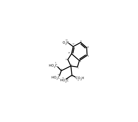 O=C(O)C(C(=O)O)C1(C(C(=O)O)C(=O)O)Cc2cccc([N+](=O)[O-])c2C1